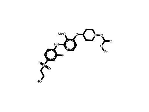 COc1c(OC2CCN(OC(=O)OC(C)C)CC2)ccnc1Nc1ccc(S(=O)(=O)CCO)cc1F